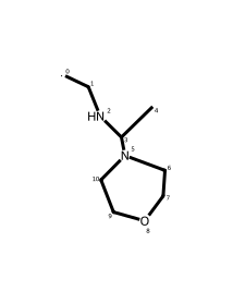 [CH2]CNC(C)N1CCOCC1